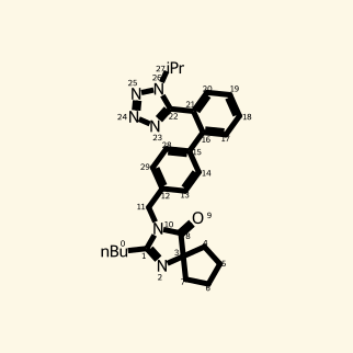 CCCCC1=NC2(CCCC2)C(=O)N1Cc1ccc(-c2ccccc2-c2nnnn2C(C)C)cc1